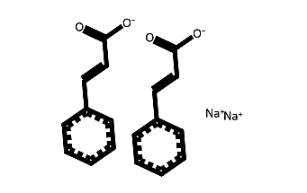 O=C([O-])C=Cc1ccccc1.O=C([O-])C=Cc1ccccc1.[Na+].[Na+]